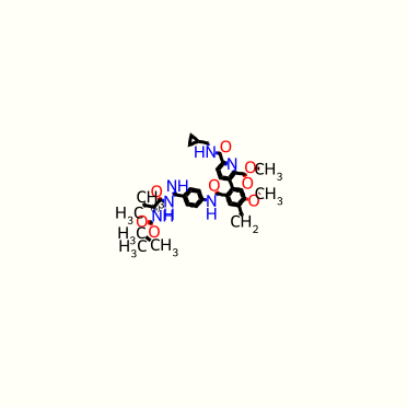 C=Cc1cc(C(=O)Nc2ccc(C(=N)NC(=O)[C@@H](NC(=O)OC(C)(C)C)C(C)C)cc2)c(-c2ccc(C(=O)NCC3CC3)nc2C(=O)OC)cc1OC